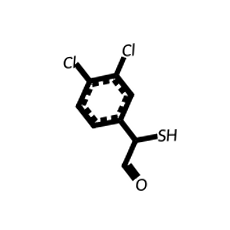 O=CC(S)c1ccc(Cl)c(Cl)c1